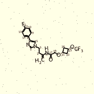 C=C(CCn1cnc(-c2ccc(F)cc2)c1)NC(=O)CO[C@H]1C[C@@H](OC(F)(F)F)C1